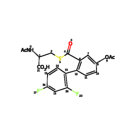 CC(=O)NC(CSC(=O)c1cc(OC(C)=O)ccc1-c1ccc(F)cc1F)C(=O)O